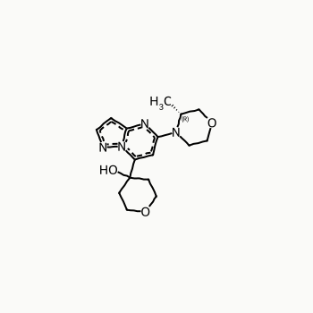 C[C@@H]1COCCN1c1cc(C2(O)CCOCC2)n2nccc2n1